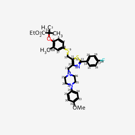 CCOC(=O)C(C)(C)Oc1ccc(SCc2sc(-c3ccc(F)cc3)nc2CN2CCN(c3ccc(OC)cc3)CC2)cc1C